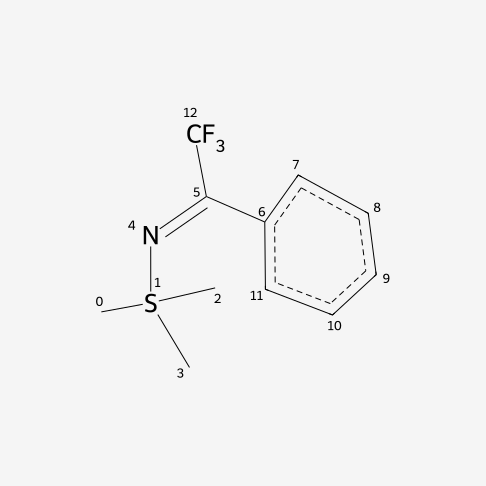 CS(C)(C)/N=C(\c1ccccc1)C(F)(F)F